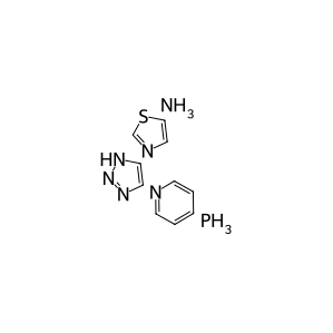 N.P.c1c[nH]nn1.c1ccncc1.c1cscn1